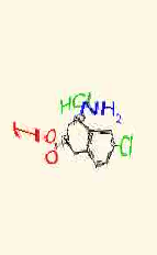 Cl.N[C@H]1C[C@@H](C(=O)O)Cc2ccc(Cl)cc21